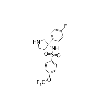 O=S(=O)(N[C@]1(c2ccc(F)cc2)CCNC1)c1ccc(OC(F)(F)F)cc1